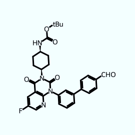 CC(C)(C)OC(=O)N[C@H]1CC[C@@H](n2c(=O)c3cc(F)cnc3n(-c3cccc(-c4ccc(C=O)cc4)c3)c2=O)CC1